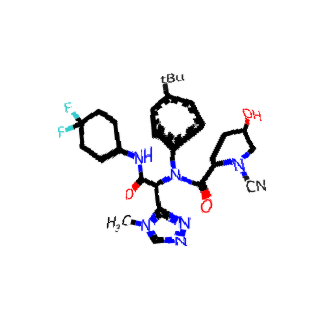 Cn1cnnc1C(C(=O)NC1CCC(F)(F)CC1)N(C(=O)C1CC(O)CN1C#N)c1ccc(C(C)(C)C)cc1